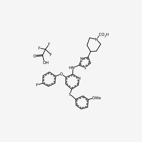 COc1cccc(Sc2cnc(Nc3nc(C4CCN(C(=O)O)CC4)cs3)c(Oc3ccc(F)cc3)c2)c1.O=C(O)C(F)(F)F